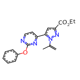 C=C(C)n1nc(C(=O)OCC)cc1-c1ccnc(Oc2ccccc2)n1